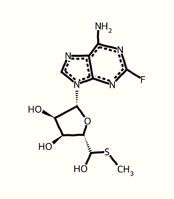 CSC(O)[C@H]1O[C@@H](n2cnc3c(N)nc(F)nc32)[C@H](O)[C@@H]1O